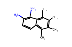 Cc1c(C)c(C)c2c(N)c(N)ccc2c1C